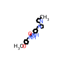 COc1ccc(CNC(=O)Nc2ccc(CN3CCC[C@H]3c3cccc(C)n3)cc2)cc1